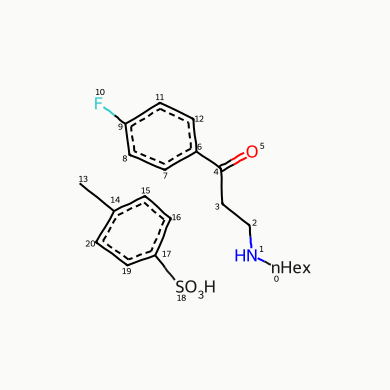 CCCCCCNCCC(=O)c1ccc(F)cc1.Cc1ccc(S(=O)(=O)O)cc1